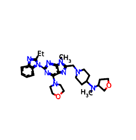 CCc1nc2ccccc2n1-c1nc(N2CCOCC2)c2nc(CN3CCC(N(C)C4CCOC4)CC3)n(C)c2n1